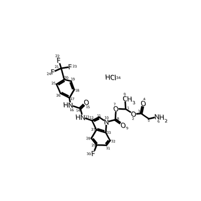 CC(OC(=O)CN)OC(=O)n1cc(NC(=O)Nc2ccc(C(F)(F)F)cc2)c2cc(F)ccc21.Cl